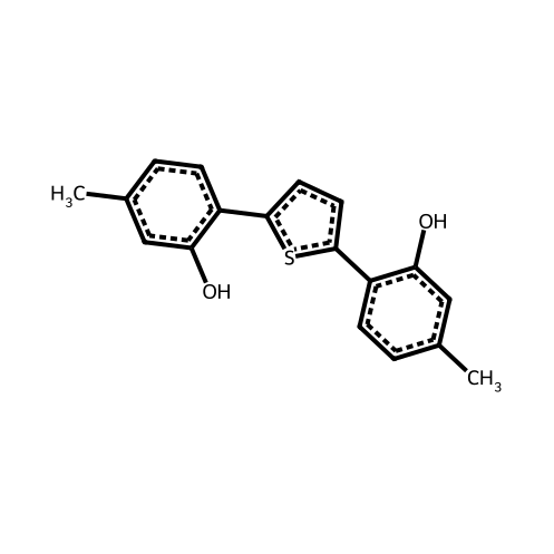 Cc1ccc(-c2ccc(-c3ccc(C)cc3O)s2)c(O)c1